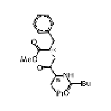 CCC(C)C(=O)N[C@@H](CC(C)C)C(=O)C[C@@H](Cc1ccccc1)C(=O)OC